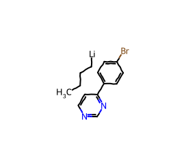 Brc1ccc(-c2ccncn2)cc1.[Li][CH2]CCC